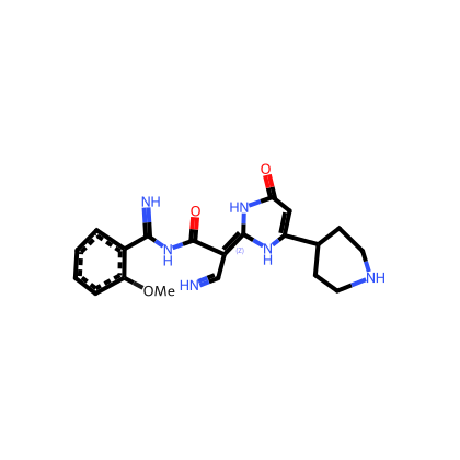 COc1ccccc1C(=N)NC(=O)/C(C=N)=C1\NC(=O)C=C(C2CCNCC2)N1